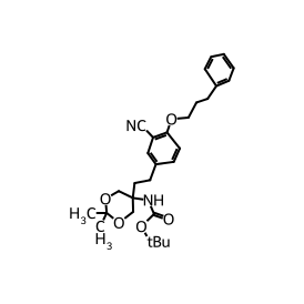 CC(C)(C)OC(=O)NC1(CCc2ccc(OCCCc3ccccc3)c(C#N)c2)COC(C)(C)OC1